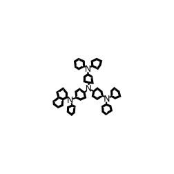 c1ccc(N(c2ccccc2)c2ccc(N(c3ccc(N(c4ccccc4)c4ccccc4)cc3)c3ccc(N(c4ccccc4)c4cccc5ccccc45)cc3)cc2)cc1